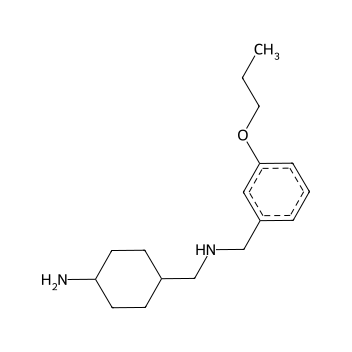 CCCOc1cccc(CNCC2CCC(N)CC2)c1